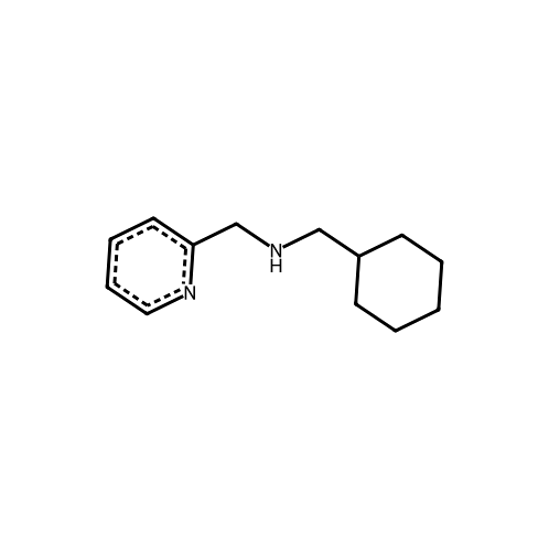 c1ccc(CNCC2CCCCC2)nc1